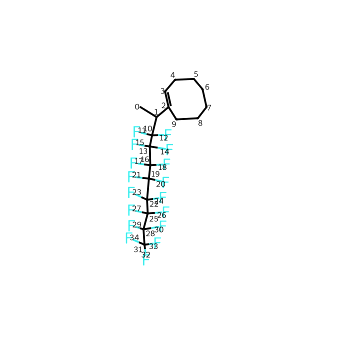 CC(C1=CCCCCCC1)C(F)(F)C(F)(F)C(F)(F)C(F)(F)C(F)(F)C(F)(F)C(F)(F)C(F)(F)F